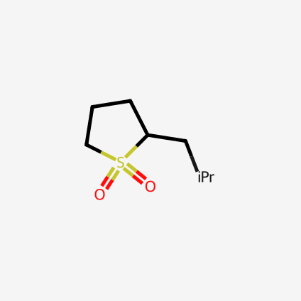 CC(C)CC1CCCS1(=O)=O